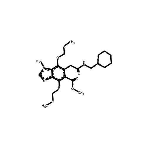 COCOc1c(C(=O)OC)c(CC(=O)NCC2CCCCC2)c(OCOC)c2c1ncn2C